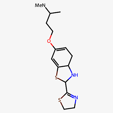 CNC(C)CCOC1=CCC2NC(C3=NCCS3)SC2=C1